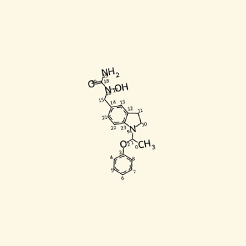 CC(Oc1ccccc1)N1CCc2cc(CN(O)C(N)=O)ccc21